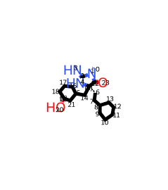 CN1C(=N)N[C@](CCC2CCCCC2)(CC2CCC[C@H](O)C2)C1=O